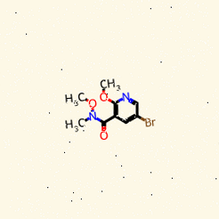 COc1ncc(Br)cc1C(=O)N(C)OC